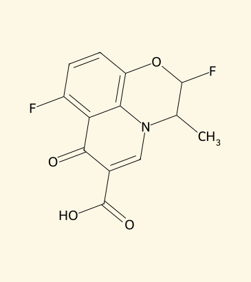 CC1C(F)Oc2ccc(F)c3c(=O)c(C(=O)O)cn1c23